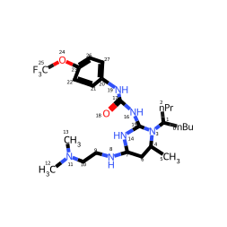 CCCCC(CCC)N1C(C)CC(NCCN(C)C)NC1NC(=O)Nc1ccc(OC(F)(F)F)cc1